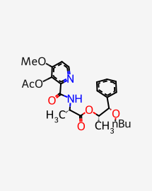 CCCCO[C@@H](c1ccccc1)[C@H](C)OC(=O)[C@H](C)NC(=O)c1nccc(OC)c1OC(C)=O